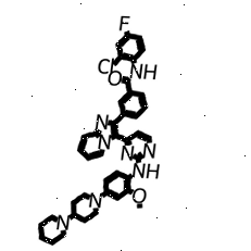 COc1cc(N2CCC(N3CCCCC3)CC2)ccc1Nc1nccc(-c2c(-c3cccc(C(=O)Nc4ccc(F)cc4Cl)c3)nc3ccccn23)n1